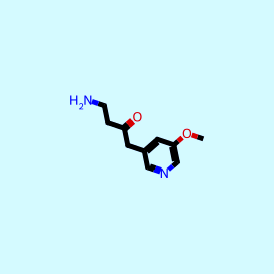 COc1cncc(CC(=O)CCN)c1